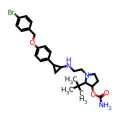 CC(C)(C)C1C(OC(N)=O)CCN1CCNC1CC1c1ccc(OCc2ccc(Br)cc2)cc1